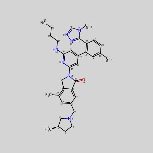 C[C@@H]1CCN(Cc2cc3c(c(C(F)(F)F)c2)CN(c2cc(-c4cc(C(F)(F)F)ccc4-c4nncn4C)cc(NCCCC#N)n2)C3=O)C1